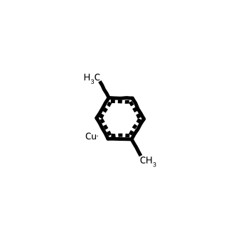 Cc1ccc(C)cc1.[Cu]